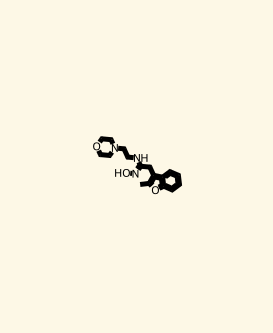 Cc1oc2ccccc2c1CC(=NO)NCCN1CCOCC1